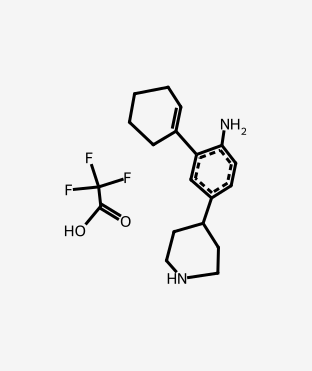 Nc1ccc(C2CCNCC2)cc1C1=CCCCC1.O=C(O)C(F)(F)F